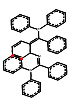 C1=CC(=C(c2ccccc2)P(c2ccccc2)c2ccccc2)C(N=C(c2ccccc2)P(c2ccccc2)c2ccccc2)C=C1